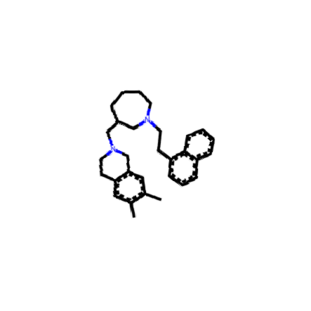 Cc1cc2c(cc1C)CN(CC1CCCCN(CCc3cccc4ccccc34)C1)CC2